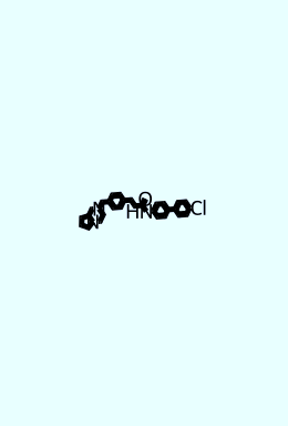 O=C(CCc1ccc(CN2CCN3CCCC3C2)cc1)Nc1ccc(-c2ccc(Cl)cc2)cc1